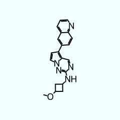 COC1CC(Nc2ncc3c(-c4ccc5ncccc5c4)ccn3n2)C1